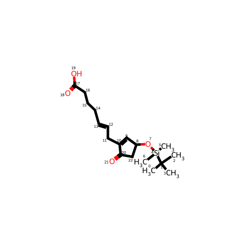 CC(C)(C)[Si](C)(C)OC1C=C(CC=CCCCC(=O)O)C(=O)C1